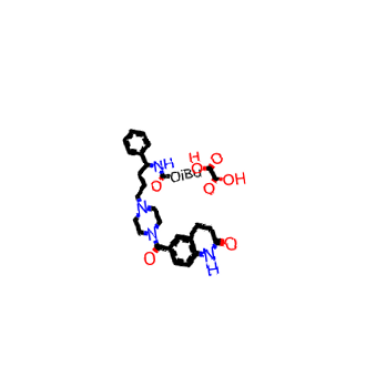 CC(C)COC(=O)NC(CCCN1CCN(C(=O)c2ccc3c(c2)CCC(=O)N3)CC1)c1ccccc1.O=C(O)C(=O)O